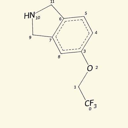 FC(F)(F)COc1ccc2c(c1)CNC2